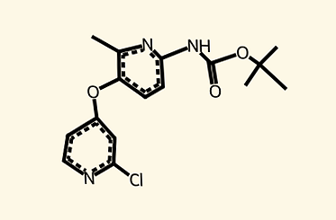 Cc1nc(NC(=O)OC(C)(C)C)ccc1Oc1ccnc(Cl)c1